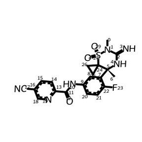 CN1C(=N)N[C@](C)(c2cc(NC(=O)c3ccc(C#N)cn3)ccc2F)C2(CC2)S1(=O)=O